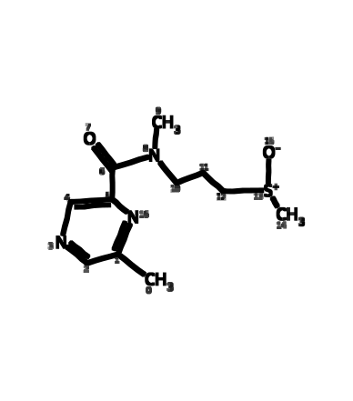 Cc1cncc(C(=O)N(C)CCC[S+](C)[O-])n1